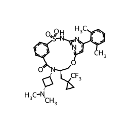 Cc1cccc(C)c1-c1cc2nc(n1)NS(=O)(=O)c1cccc(c1)C(=O)N([C@H]1C[C@@H](N(C)C)C1)[C@H](CC1(C(F)(F)F)CC1)CO2